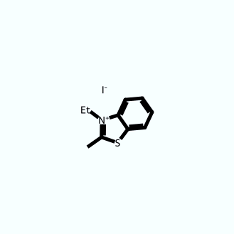 CC[n+]1c(C)sc2ccccc21.[I-]